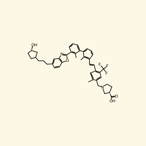 Cc1cc(/C=C/c2cccc(-c3cccc(-c4nc5cc(CCCC6CC[C@@H](O)C6)ccc5o4)c3C)c2C)c(C(F)(F)F)cc1CN1CC[C@@H](C(=O)O)C1